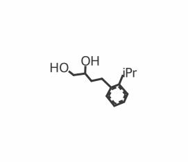 CC(C)c1ccccc1CCC(O)CO